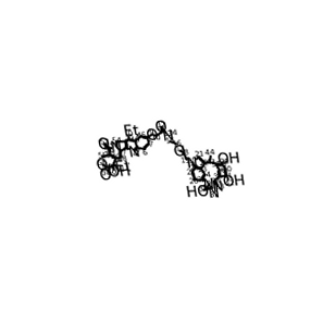 CCc1c2c(nc3ccc(OCC(=O)N(C)CCOCCn4cc5c6cc(ccc64)-n4c(O)nnc4-c4cc(c(O)cc4O)C5C)cc13)-c1cc3c(c(=O)n1C2)COC(=O)C3(O)CC